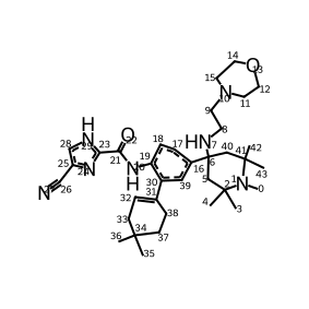 CN1C(C)(C)CC(NCCN2CCOCC2)(c2ccc(NC(=O)c3nc(C#N)c[nH]3)c(C3=CCC(C)(C)CC3)c2)CC1(C)C